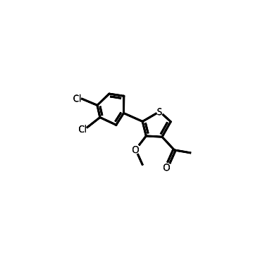 COc1c(C(C)=O)csc1-c1ccc(Cl)c(Cl)c1